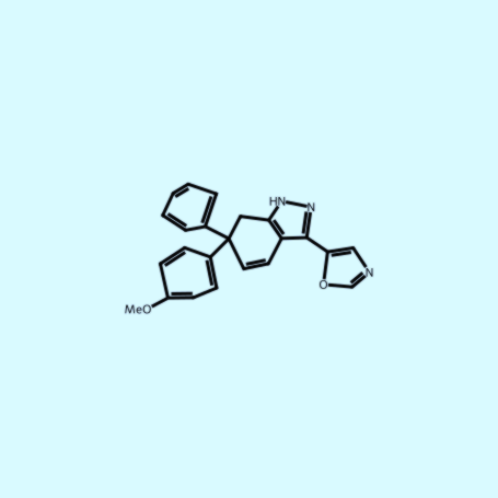 COc1ccc(C2(c3ccccc3)C=Cc3c(-c4cnco4)n[nH]c3C2)cc1